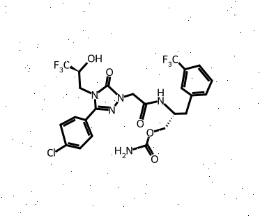 NC(=O)OC[C@@H](Cc1cccc(C(F)(F)F)c1)NC(=O)Cn1nc(-c2ccc(Cl)cc2)n(C[C@H](O)C(F)(F)F)c1=O